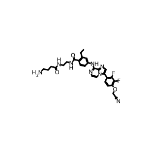 CCc1cc(Nc2nccn3c(-c4ccc(OCC#N)c(F)c4F)cnc23)ccc1C(=O)NCCNC(=O)CCCN